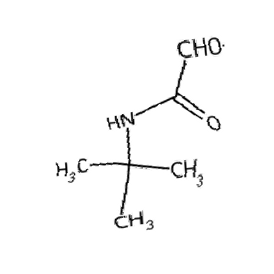 CC(C)(C)NC(=O)[C]=O